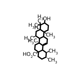 C[C@@H]1CC[C@]2(C(=O)O)CC[C@]3(C)C(=CCC4C3[C@@H](C)C[C@H]3C(C)(C)C(O)CC[C@]43C)C2[C@H]1C